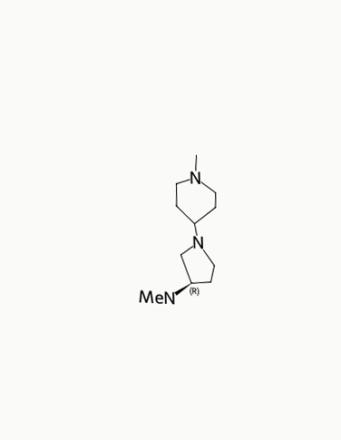 CN[C@@H]1CCN(C2CCN(C)CC2)C1